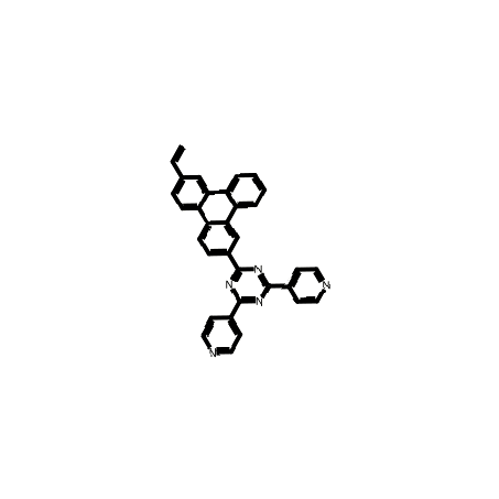 C=Cc1ccc2c3ccc(-c4nc(-c5ccncc5)nc(-c5ccncc5)n4)cc3c3ccccc3c2c1